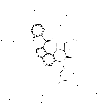 COC[C@]1(C)Nc2c(cnc3[nH]cc(C(=O)c4ccccc4Cl)c23)N(CCN(C)C)C1=O